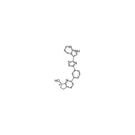 O[C@@H]1CCc2ccc(-c3cccc(-c4csc(-c5c[nH]c6ncccc56)n4)c3)nc21